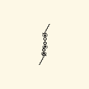 CCCCCCCC[C@@H]1CO[C@@H](c2ccc(OC(=O)c3ccc(C4CCC([C@@H]5OC[C@@H](CCCCCCCC)C(C)O5)CC4)cc3)cc2)OC1C